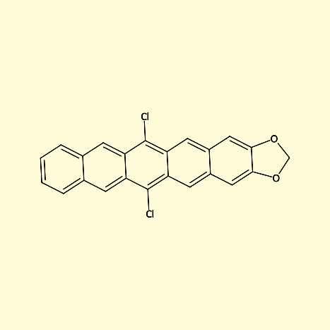 Clc1c2cc3ccccc3cc2c(Cl)c2cc3cc4c(cc3cc12)OCO4